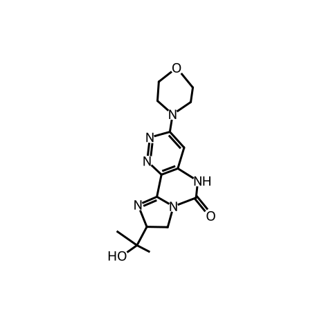 CC(C)(O)C1CN2C(=O)Nc3cc(N4CCOCC4)nnc3C2=N1